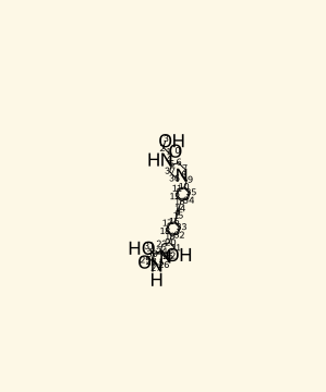 O=C(CO)NC1CCN(Cc2ccc(C#Cc3ccc(C(CO)Cc4nc[nH]c(=O)c4O)cc3)cc2)CC1